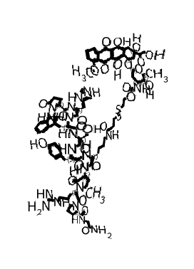 COc1cccc2c1C(=O)c1c(O)c3c(c(O)c1C2=O)C[C@@](O)(C(=O)CO)C[C@@H]3O[C@H]1C[C@H](NC(=O)OCCSSCCC(=O)NCCCC[C@@H](NC(=O)[C@H](Cc2ccc(O)cc2)NC(=O)[C@H](CO)NC(=O)[C@H](Cc2c[nH]c3ccccc23)NC(=O)[C@H](Cc2c[nH]cn2)NC(=O)[C@@H]2CCC(=O)N2)C(=O)N[C@H]2CC(C)N([C@@H](CCCNC(=N)N)C(=O)N3CCC[C@H]3C(=O)NCC(N)=O)C2=O)[C@H](O)[C@H](C)O1